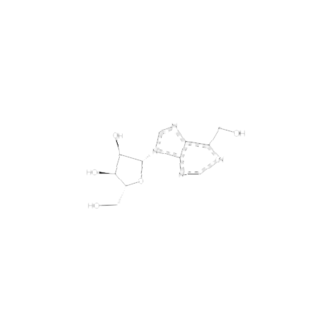 OCc1ncnc2c1ncn2[C@@H]1O[C@H](CO)[C@@H](O)[C@H]1O